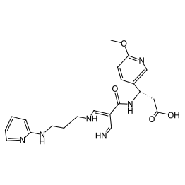 COc1ccc([C@H](CC(=O)O)NC(=O)/C(C=N)=C/NCCCNc2ccccn2)cn1